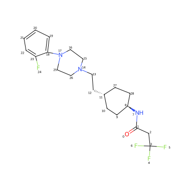 O=C(CC(F)(F)F)N[C@H]1CC[C@H](CCN2CCN(c3ccccc3F)CC2)CC1